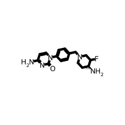 Nc1ccn(-c2ccc(CN3CC[C@H](N)C(F)C3)cc2)c(=O)n1